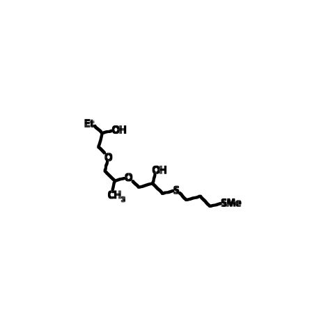 CCC(O)COCC(C)OCC(O)CSCCCSC